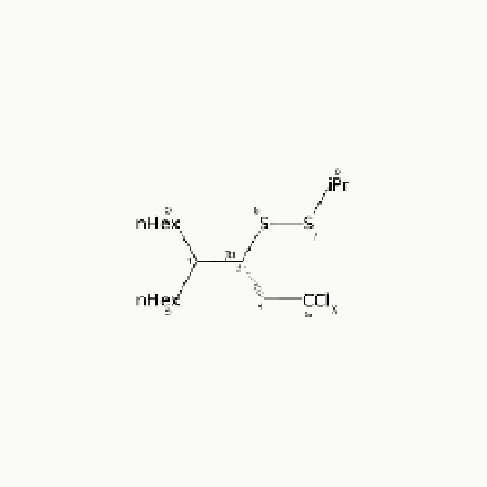 CCCCCCC(CCCCCC)[C@@H](CC(Cl)(Cl)Cl)SSC(C)C